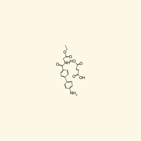 CCOC(=O)CNC(=O)c1ccc(-c2ccc(N)cc2)cc1.O=C(O)C=CC(=O)O